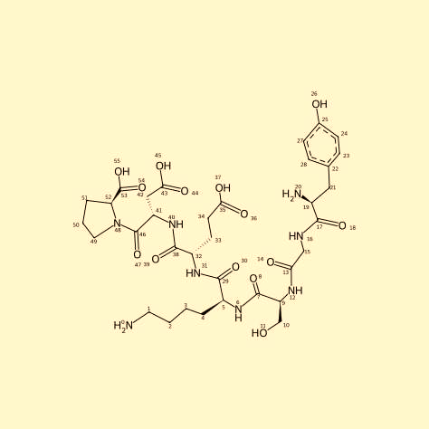 NCCCC[C@H](NC(=O)[C@H](CO)NC(=O)CNC(=O)[C@@H](N)Cc1ccc(O)cc1)C(=O)N[C@@H](CCC(=O)O)C(=O)N[C@@H](CC(=O)O)C(=O)N1CCC[C@H]1C(=O)O